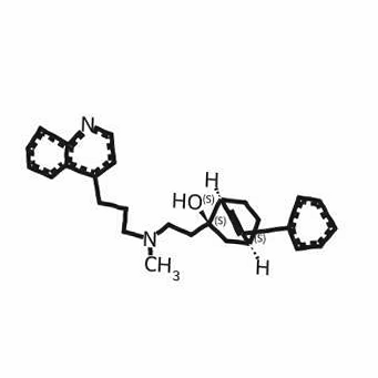 CN(CCCc1ccnc2ccccc12)CC[C@@]1(O)C[C@@H]2CC[C@H]1C=C2c1ccccc1